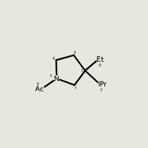 CCC1(C(C)C)CCN(C(C)=O)C1